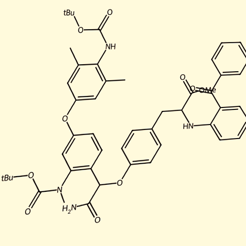 COC(=O)C(Cc1ccc(OC(C(N)=O)c2ccc(Oc3cc(C)c(NC(=O)OC(C)(C)C)c(C)c3)cc2N(C)C(=O)OC(C)(C)C)cc1)Nc1ccccc1C(=O)c1ccccc1